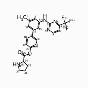 Cc1cc(Nc2nccc(C(F)(F)F)n2)cc(-c2ccc(OC(=O)[C@H]3CCCN3)nc2)c1